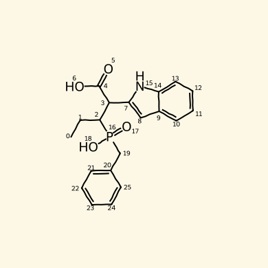 CCC(C(C(=O)O)c1cc2ccccc2[nH]1)P(=O)(O)Cc1ccccc1